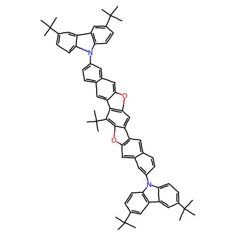 CC(C)(C)c1ccc2c(c1)c1cc(C(C)(C)C)ccc1n2-c1ccc2cc3c(cc2c1)oc1c(C(C)(C)C)c2c(cc13)oc1cc3cc(-n4c5ccc(C(C)(C)C)cc5c5cc(C(C)(C)C)ccc54)ccc3cc12